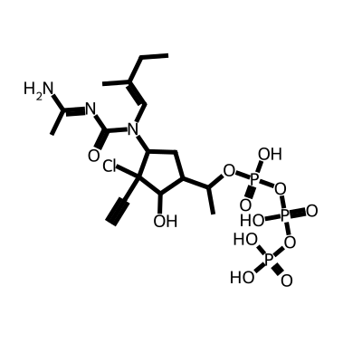 C#CC1(Cl)C(O)C(C(C)OP(=O)(O)OP(=O)(O)OP(=O)(O)O)CC1N(/C=C(\C)CC)C(=O)/N=C(\C)N